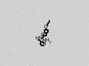 C=C(NCc1cc2ccc(OC/C=C/C)cc2o1)c1cccnc1N